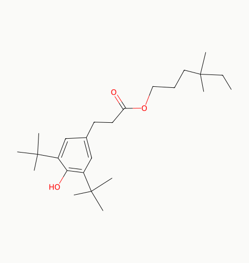 CCC(C)(C)CCCOC(=O)CCc1cc(C(C)(C)C)c(O)c(C(C)(C)C)c1